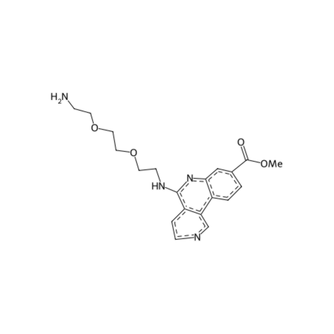 COC(=O)c1ccc2c(c1)nc(NCCOCCOCCN)c1ccncc12